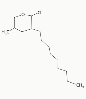 CCCCCCCCCC1CC(C)COC1Cl